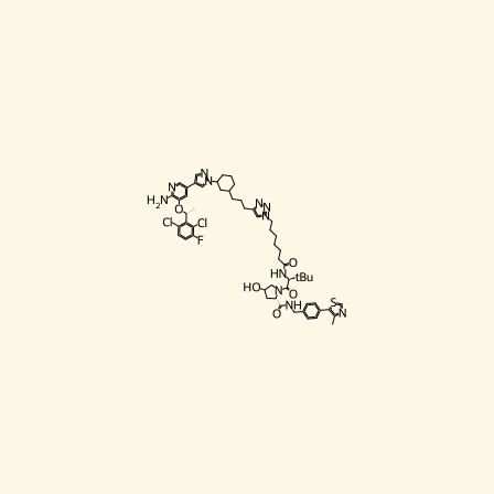 Cc1ncsc1-c1ccc(CNC(=O)[C@@H]2C[C@@H](O)CN2C(=O)[C@@H](NC(=O)CCCCCCn2cc(CCCC3CCCC(n4cc(-c5cnc(N)c(O[C@H](C)c6c(Cl)ccc(F)c6Cl)c5)cn4)C3)nn2)C(C)(C)C)cc1